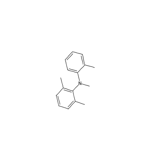 Cc1ccccc1N(C)c1c(C)cccc1C